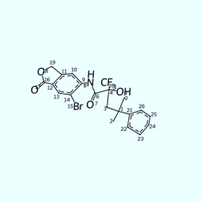 CC(C)(CC(O)(C(=O)Nc1cc2c(cc1Br)C(=O)OC2)C(F)(F)F)c1ccccc1